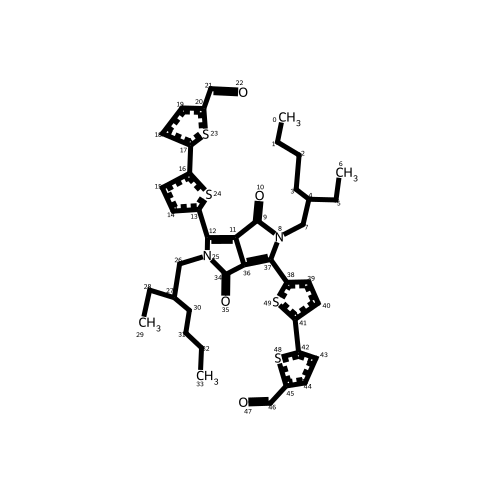 CCCCC(CC)CN1C(=O)C2=C(c3ccc(-c4ccc(C=O)s4)s3)N(CC(CC)CCCC)C(=O)C2=C1c1ccc(-c2ccc(C=O)s2)s1